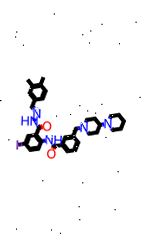 Cc1ccc(/C=N/NC(=O)c2cc(I)ccc2NC(=O)c2cccc(CN3CCC(N4CCCCC4)CC3)c2)cc1C